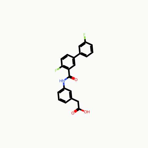 O=C(O)Cc1cccc(NC(=O)c2cc(-c3cccc(F)c3)ccc2F)c1